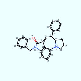 O=C1C2=CC(c3ccccc3)C3CCCN3c3cccc(c32)N1Cc1ccccc1